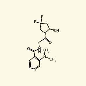 CN(C)c1cnccc1C(=O)NCC(=O)N1CC(F)(F)C[C@H]1C#N